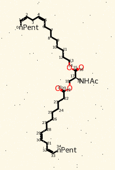 CCCCC/C=C\C/C=C\CCCCCCCCOC(=O)[C@H](COC(=O)CCCCCCC/C=C\C/C=C\CCCCC)NC(C)=O